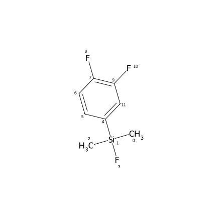 C[Si](C)(F)c1ccc(F)c(F)c1